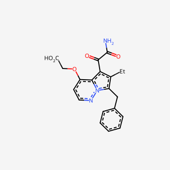 CCc1c(C(=O)C(N)=O)c2c(OCC(=O)O)ccnn2c1Cc1ccccc1